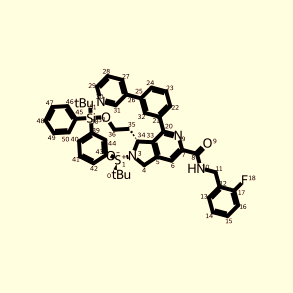 CC(C)(C)[S@@+]([O-])N1Cc2cc(C(=O)NCc3ccccc3F)nc(-c3cccc(-c4cccnc4)c3)c2[C@H]1CCO[Si](c1ccccc1)(c1ccccc1)C(C)(C)C